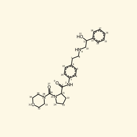 O=C(Nc1ccc(CCNCC(O)c2ccccc2)cc1)C1CCCN1C(=O)N1CCOCC1